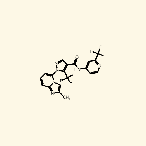 Cc1cn2c(-n3ncc(C(=O)Nc4ccnc(C(F)(F)F)c4)c3C(F)(F)F)cccc2n1